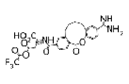 N=C(N)c1ccc2c(c1)CCCCc1cc(C(=O)N[C@@H](CC(=O)OC(=O)C(F)(F)F)C(=O)O)ccc1C(=O)O2